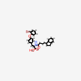 O=C(CCCC1CCc2ccccc21)N/C(=C\c1ccc(Oc2ccccc2Br)cc1)C(=O)O